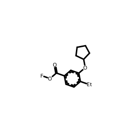 CCc1ccc(C(=O)OF)cc1OC1CCCC1